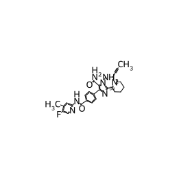 CC#CCN1CCCC[C@H]1c1nc(-c2ccc(C(=O)Nc3cc(C)c(F)cn3)cc2)c(C(N)=O)n1N